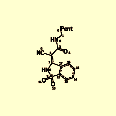 CCCC(C)CNC(=O)C(C#N)=C1NS(=O)(=O)c2ccccc21